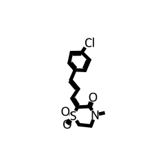 CN1CCS(=O)(=O)/C(=C/C=C/c2ccc(Cl)cc2)C1=O